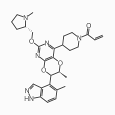 C=CC(=O)N1CCC(c2nc(OC[C@@H]3CCCN3C)nc3c2O[C@@H](C)C(c2c(C)ccc4[nH]ncc24)O3)CC1